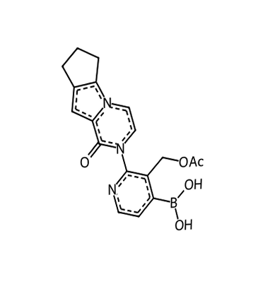 CC(=O)OCc1c(B(O)O)ccnc1-n1ccn2c3c(cc2c1=O)CCC3